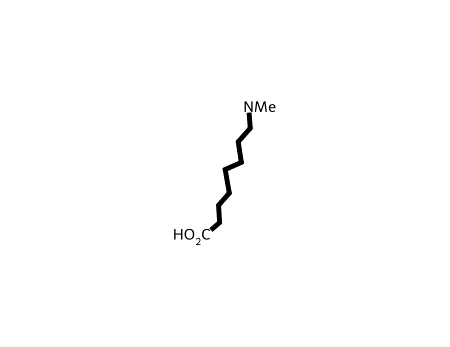 CNCCCCCCCC(=O)O